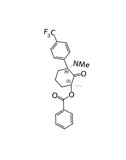 CN[C@@]1(c2ccc(C(F)(F)F)cc2)CCC[C@](C)(OC(=O)c2ccccc2)C1=O